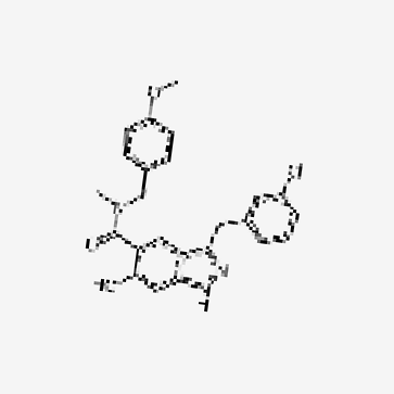 COc1ccc(CN(C)C(=O)c2cc3c(Cc4cccc(Cl)c4)n[nH]c3cc2O)cc1